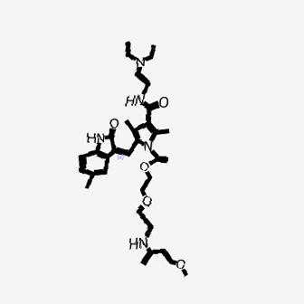 C=C(CCOC)NCCOCCOC(=C)n1c(C)c(C(=O)NCCN(CC)CC)c(C)c1/C=C1\C(=O)Nc2ccc(C)cc21